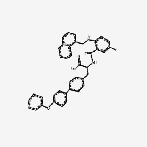 O=C(N[C@@H](Cc1ccc(-c2ccc(Oc3ccccc3)cc2)cc1)C(=O)O)c1cc(Cl)ccc1NCc1cccc2ccccc12